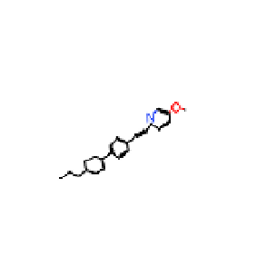 CCCC1CCC(c2ccc(C#Cc3ccc(OC)cn3)cc2)CC1